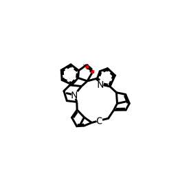 CC1C2=CC=CC1CCC1=CC=CC(c3cccc(n3)C3(c4ccccc4-c4ccccc43)C3CCCC2N3C)C1C